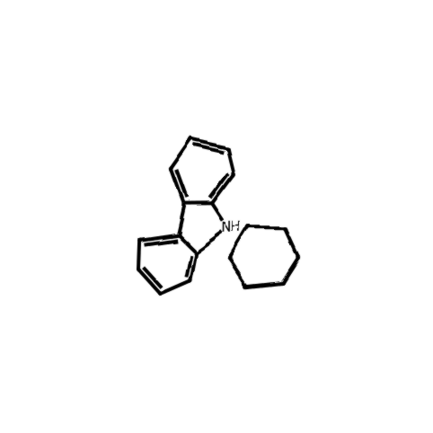 C1CCCCC1.c1ccc2c(c1)[nH]c1ccccc12